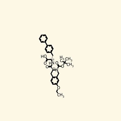 CCOc1ccc2c(c1)CN(C(=O)OC(C)(C)C)[C@H](C(=O)N[C@@H](Cc1ccc(-c3ccccc3)cc1)C(=O)O)C2